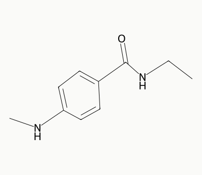 CCNC(=O)c1ccc(NC)cc1